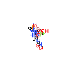 CCc1cc(Nc2ncc(Br)c(Nc3cnc4ccccc4c3P(C)(C)=O)n2)c(OC)cc1N1CCC(N2CCCOCC2=O)CC1.O=C(O)C(F)(F)F